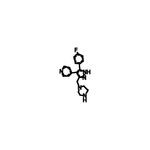 Fc1ccc(-c2[nH]nc(CN3CCNCC3)c2-c2ccncc2)cc1